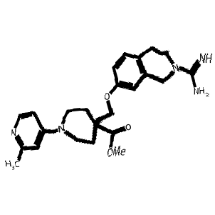 COC(=O)C1(COc2ccc3c(c2)CN(C(=N)N)CC3)CCN(c2ccnc(C)c2)CC1